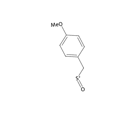 COc1ccc(C[S+]=O)cc1